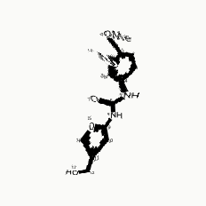 COc1ccc(NC(=O)Nc2cc(CO)co2)cn1